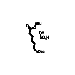 CCCCCCCCCCCCCCCC(=O)OCCCC.O=S(=O)(O)O